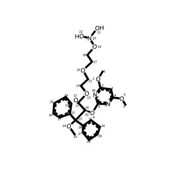 COc1cc(OC)nc(O[C@H](C(=O)OCCOCCON(O)O)C(OC)(c2ccccc2)c2ccccc2)n1